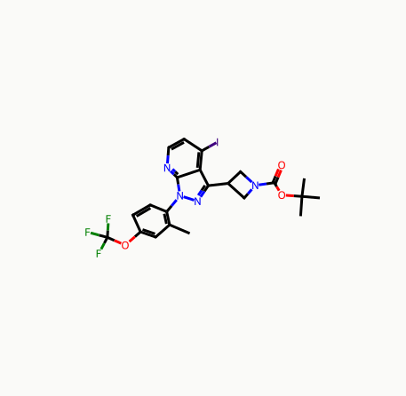 Cc1cc(OC(F)(F)F)ccc1-n1nc(C2CN(C(=O)OC(C)(C)C)C2)c2c(I)ccnc21